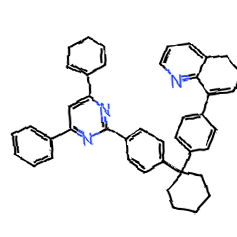 C1=CC(c2cc(-c3ccccc3)nc(-c3ccc(C4(c5ccc(C6=CCCc7cccnc76)cc5)CCCCC4)cc3)n2)=CCC1